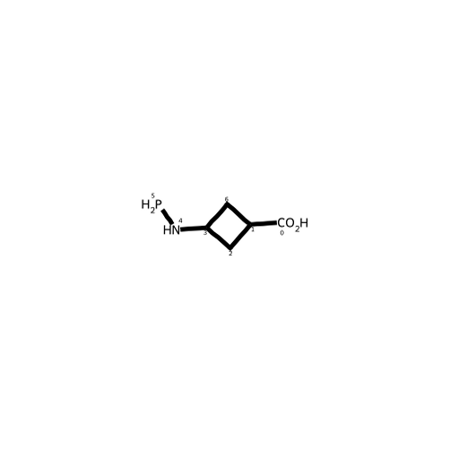 O=C(O)C1CC(NP)C1